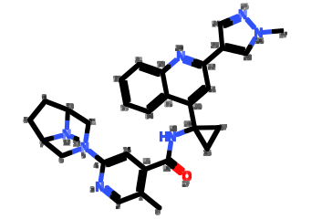 Cc1cnc(N2CC3CCC(C2)N3C)cc1C(=O)NC1(c2cc(-c3cnn(C)c3)nc3ccccc23)CC1